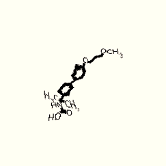 COCCCOc1ccc(-c2ccc(C(C)(C)NC(=O)O)cc2)cc1